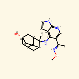 CON=C(C)c1cnc2[nH]ccc2c1N[C@H]1C2CC3CC1C[C@@](O)(C3)C2